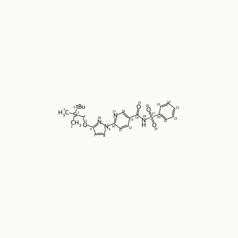 CC(C)(C)[Si](C)(C)COc1ccn(-c2ccc(C(=O)NS(=O)(=O)c3ccccc3)cn2)n1